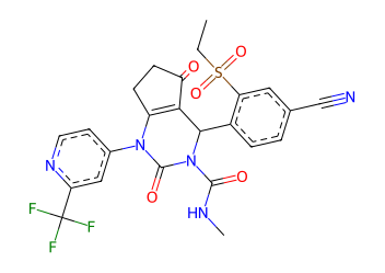 CCS(=O)(=O)c1cc(C#N)ccc1C1C2=C(CCC2=O)N(c2ccnc(C(F)(F)F)c2)C(=O)N1C(=O)NC